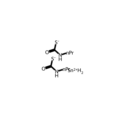 CCCNC(=O)[S-].CCCNC(=O)[S-].[SnH2+2]